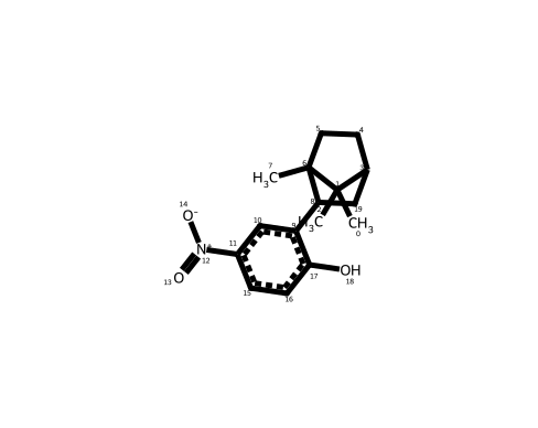 CC1(C)C2CCC1(C)C(c1cc([N+](=O)[O-])ccc1O)C2